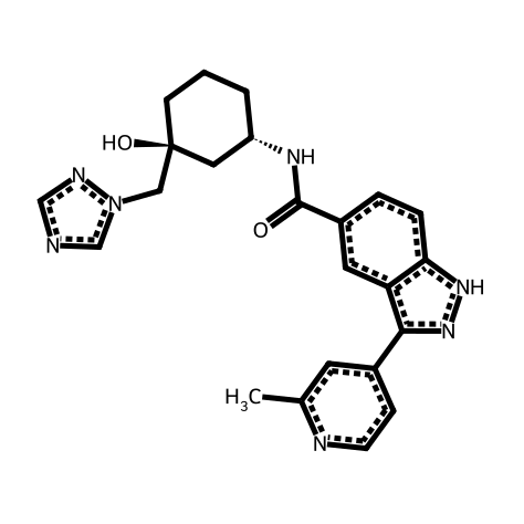 Cc1cc(-c2n[nH]c3ccc(C(=O)N[C@H]4CCC[C@@](O)(Cn5cncn5)C4)cc23)ccn1